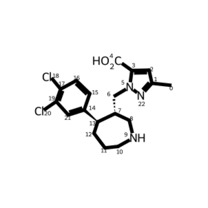 Cc1cc(C(=O)O)n(C[C@@H]2CNCCC[C@H]2c2ccc(Cl)c(Cl)c2)n1